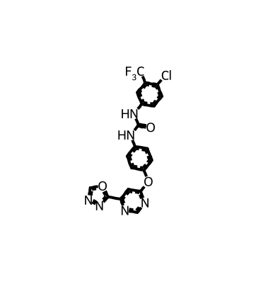 O=C(Nc1ccc(Oc2cc(-c3nnco3)ncn2)cc1)Nc1ccc(Cl)c(C(F)(F)F)c1